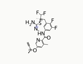 C#C[C@H](C)Oc1cnc(C(=O)Nc2cc(F)c(F)c(C[C@@](C)(S/C(N)=N\C)C(F)F)c2)c(C)c1